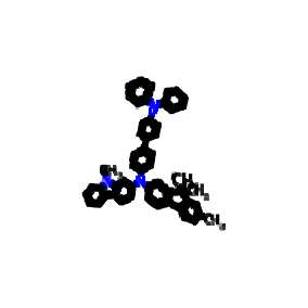 Cc1ccc2c(c1)C(C)(C)c1cc(N(c3ccc(-c4ccc(N(c5ccccc5)c5ccccc5)cc4)cc3)c3ccc4c5ccccc5n(C)c4c3)ccc1-2